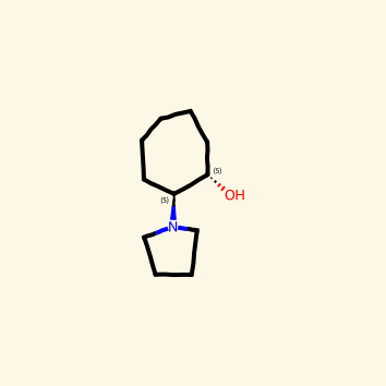 O[C@H]1CCCCC[C@@H]1N1CCCC1